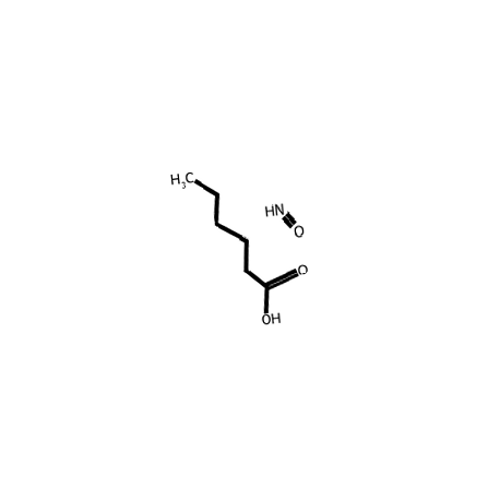 CCCCCC(=O)O.N=O